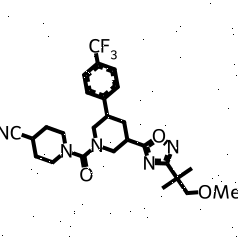 COCC(C)(C)c1noc(C2CC(c3ccc(C(F)(F)F)cc3)CN(C(=O)N3CCC(C#N)CC3)C2)n1